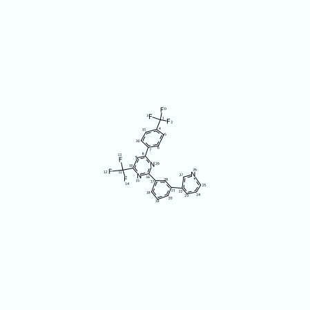 FC(F)(F)c1ccc(-c2cc(C(F)(F)F)nc(-c3cccc(-c4cccnc4)c3)n2)cc1